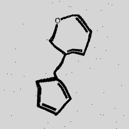 [CH]1OC=CC=C1C1=CC=CC1